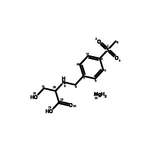 CS(=O)(=O)c1ccc(CNC(CO)C(=O)O)cc1.[MgH2]